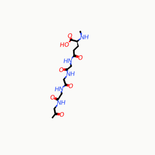 CN[C@@H](CCC(=O)NCC(=O)NCC(=O)NCC(=O)NCC(C)=O)C(=O)O